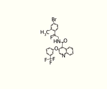 Cc1cc(Br)ccc1[C@@H](F)CNC(=O)c1c(Oc2cccc(C(F)(F)F)c2)cnc2ccccc12